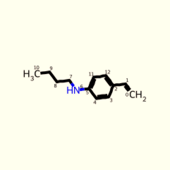 C=Cc1ccc(NCCCC)cc1